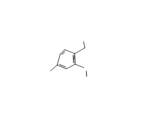 COc1cc(I)ccc1CCl